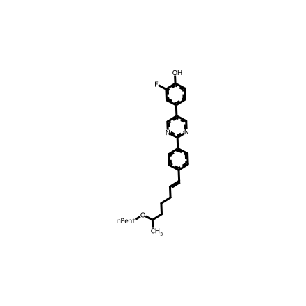 CCCCCOC(C)CCC/C=C/c1ccc(-c2ncc(-c3ccc(O)c(F)c3)cn2)cc1